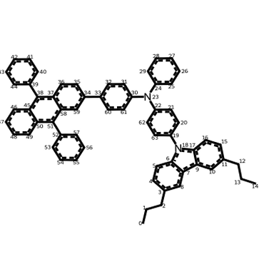 CCCc1ccc2c(c1)c1cc(CCC)ccc1n2-c1ccc(N(c2ccccc2)c2ccc(-c3ccc4c(-c5ccccc5)c5ccccc5c(-c5ccccc5)c4c3)cc2)cc1